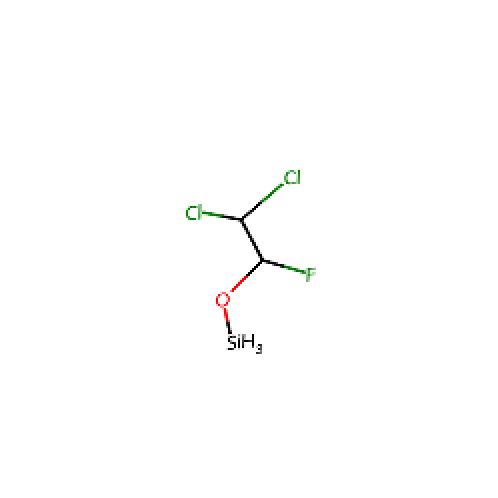 FC(O[SiH3])C(Cl)Cl